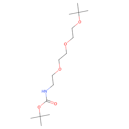 CC(C)(C)OCCOCCOCCNC(=O)OC(C)(C)C